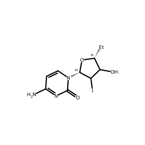 CC[C@H]1O[C@@H](n2ccc(N)nc2=O)C(I)C1O